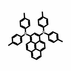 Cc1ccc(N(c2ccc(C)cc2)c2cc(N(c3ccc(C)cc3)c3ccc(C)cc3)c3ccc4cccc5ccc2c3c54)cc1